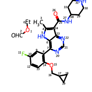 CCOC=O.Cc1[nH]c2c(-c3cc(F)ccc3OCC3CC3)ncnc2c1C(=O)NC1CCNCC1